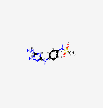 CS(=O)(=O)Nc1ccc(Nc2n[nH]c(N)n2)cc1